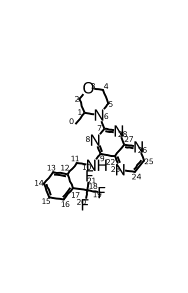 CC1COCCN1c1nc(NCc2ccccc2C(F)(F)F)c2nccnc2n1